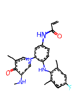 C=CC(=O)Nc1ccc(Nc2c(C)cc(F)cc2C)c(-n2cc(C)c(=O)c(NC)c2)c1